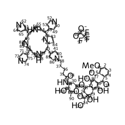 COc1cccc2c1C(=O)c1c(O)c3c(c(O)c1C2=O)C[C@@](O)(C(=O)CO)C[C@@H]3O[C@H]1C[C@@H](NC(=O)CCCC[n+]2ccc(-c3c4nc(c(-c5ccncc5)c5ccc([nH]5)c(-c5ccncc5)c5nc(c(-c6ccncc6)c6ccc3[nH]6)C=C5)C=C4)cc2)[C@H](O)[C@H](C)O1.O=C([O-])C(F)(F)F